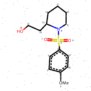 COc1ccc(S(=O)(=O)N2CCCCC2CCO)cc1